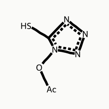 CC(=O)On1nnnc1S